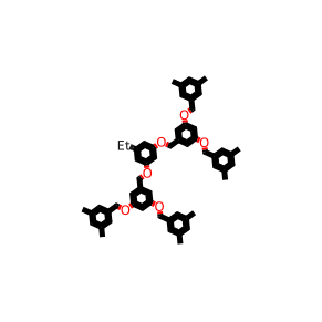 CCc1cc(OCc2cc(OCc3cc(C)cc(C)c3)cc(OCc3cc(C)cc(C)c3)c2)cc(OCc2cc(OCc3cc(C)cc(C)c3)cc(OCc3cc(C)cc(C)c3)c2)c1